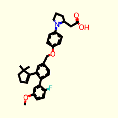 COc1ccc(F)c(-c2ccc(COc3ccc(N4CCCC4CC(=O)O)cc3)cc2C2=CCCC2(C)C)c1